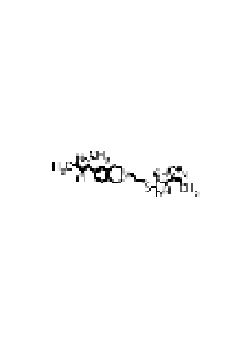 Cc1ncoc1-c1nnc(SCCCN2CCc3ccc(-c4c(Cl)c(C)nn4C)cc3CC2)n1C